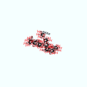 CO[C@@H]1OC(CO[C@H]2O[C@H](CO)C(O[C@@H]3O[C@H](CO[C@H]4C[C@H](CO)[C@@H](O[C@H]5O[C@H](CO)[C@@H](O)[C@H](O[C@@H]6O[C@@H](CO)[C@H](O)[C@@H](O)[C@@H]6O)[C@H]5O)[C@H](O)[C@H]4O)[C@@H](O[C@H]4O[C@H](CO)[C@@H](O[C@H]5O[C@H](CO)[C@@H](O[C@H]6O[C@H](CO)[C@@H](O)[C@H](O)[C@H]6O)[C@H](O)[C@H]5O)[C@H](O)[C@H]4O)[C@H](O)[C@H]3O)[C@H](O)[C@H]2O)[C@@H](O)[C@H](O)[C@H]1O